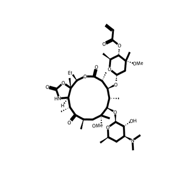 C=CC(=O)O[C@H]1[C@H](C)O[C@@H](O[C@H]2[C@H](C)[C@@H](O[C@@H]3O[C@H](C)C[C@H](N(C)C)[C@H]3O)[C@](C)(OC)C[C@@H](C)C(=O)[C@H](C)[C@H]3NC(=O)O[C@]3(C)[C@@H](CC)OC(=O)[C@@H]2C)C[C@@]1(C)OC